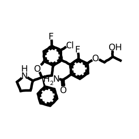 CC(O)COc1ccc(C(N)=O)c(-c2c(Cl)c(F)cc3c2C[C@](c2ccccc2)(C2CCCN2)O3)c1F